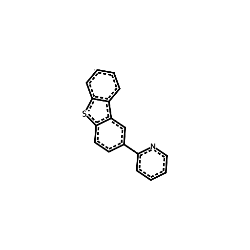 [c]1ccc2c(c1)sc1ccc(-c3ccccn3)cc12